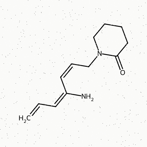 C=C/C=C(N)\C=C/CN1CCCCC1=O